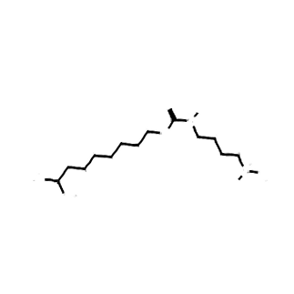 CCCCCCCCCCC(CCCCCCCCCC)CCCCCCCOC(=O)N(C)CCCCN(C)C